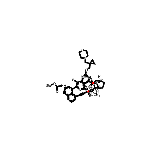 CC(C)[Si](C#Cc1cccc2cc(NC(=O)OC(C)(C)C)cc(-c3nc4c5c(nc(OCC6(CN7CCOCC7)CC6)nc5c3F)N3C[C@H]5CC[C@@H]([C@H]3[C@H](C)O4)N5C(=O)OC(C)(C)C)c12)(C(C)C)C(C)C